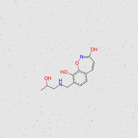 CC(O)CNCc1ccc2c(c1O)ON=C(O)C=C2